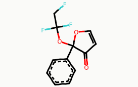 O=C1C=COC1(OC(F)(F)CF)c1ccccc1